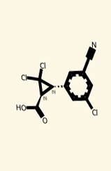 N#Cc1cc(Cl)cc([C@@H]2[C@@H](C(=O)O)C2(Cl)Cl)c1